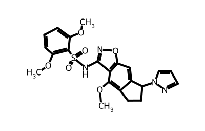 COc1cccc(OC)c1S(=O)(=O)Nc1noc2cc3c(c(OC)c12)CCC3n1cccn1